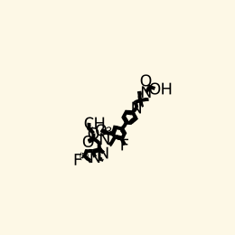 CCOC(=O)C(c1ncn2c1C[C@@H](F)C2)N1Cc2c(F)cc(-c3ccc(N4CC5(CN(C(=O)O)C5)C4)cc3)cc2C1=O